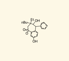 CCCCC1(CC)CS(=O)(=O)c2cc(O)ccc2C(c2ccccc2)C1O